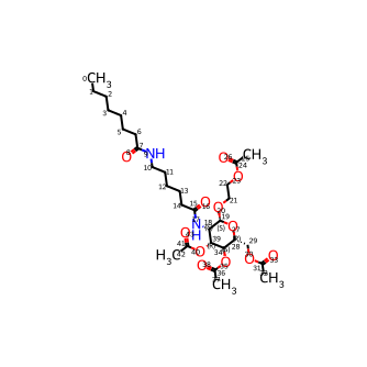 CCCCCCCC(=O)NCCCCCC(=O)N[C@@H]1[C@@H](OCCOC(C)=O)O[C@H](COC(C)=O)[C@@H](OC(C)=O)[C@@H]1OC(C)=O